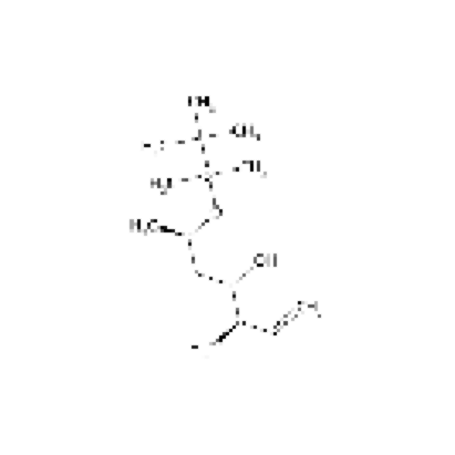 C=C[C@@H](C)C(O)C[C@@H](C)O[Si](C)(C)C(C)(C)C